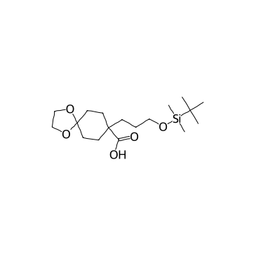 CC(C)(C)[Si](C)(C)OCCCC1(C(=O)O)CCC2(CC1)OCCO2